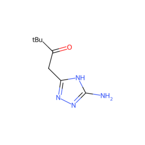 CC(C)(C)C(=O)Cc1nnc(N)[nH]1